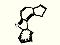 C1=CC2CCCC2=C2C1=Nc1ccccc12